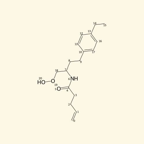 C=CCCC(=O)NC(CCc1ccc(CC)cc1)COO